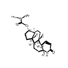 CCCN(CCC)C(=O)O[C@H]1CC[C@H]2[C@@H]3CC[C@H]4NC(=O)C=C[C@@H]4[C@H]3CC[C@]12C